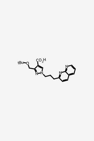 CC(C)(C)OCc1nn(CCCc2ccc3cccnc3n2)cc1C(=O)O